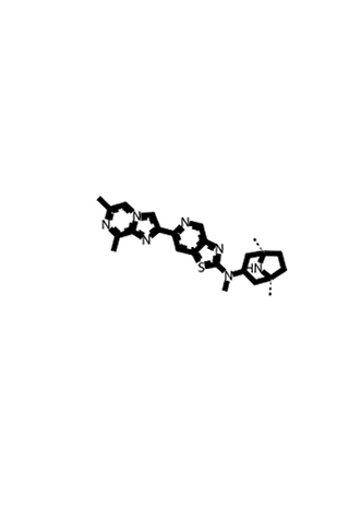 Cc1cn2cc(-c3cc4sc(N(C)C5C[C@]6(C)CC[C@](C)(C5)N6)nc4cn3)nc2c(C)n1